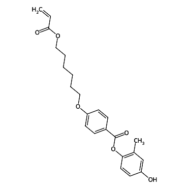 C=CC(=O)OCCCCCCOc1ccc(C(=O)Oc2ccc(O)cc2C)cc1